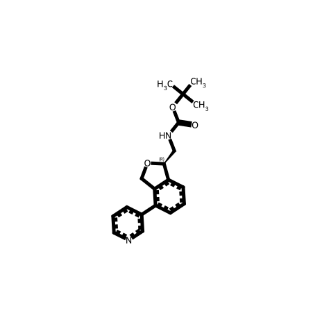 CC(C)(C)OC(=O)NC[C@@H]1OCc2c(-c3cccnc3)cccc21